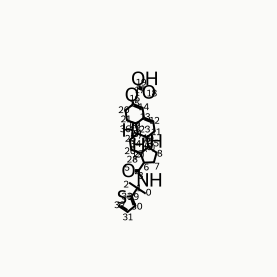 CC(C)(NC(=O)C1CC[C@H]2[C@@H]3CC=C4C=C(OC(=O)O)CC[C@]4(C)[C@H]3CC[C@]12C)c1cccs1